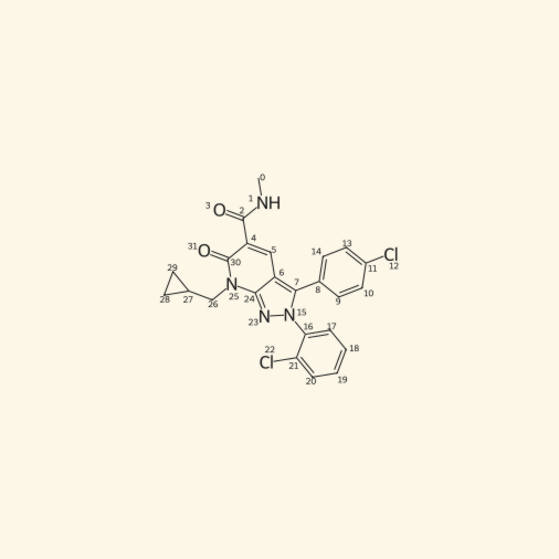 CNC(=O)c1cc2c(-c3ccc(Cl)cc3)n(-c3ccccc3Cl)nc2n(CC2CC2)c1=O